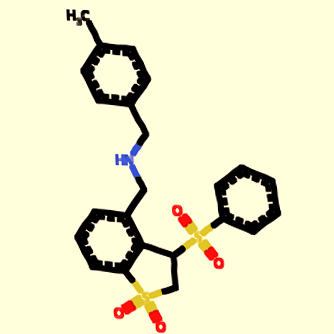 Cc1ccc(CNCc2cccc3c2C(S(=O)(=O)c2ccccc2)CS3(=O)=O)cc1